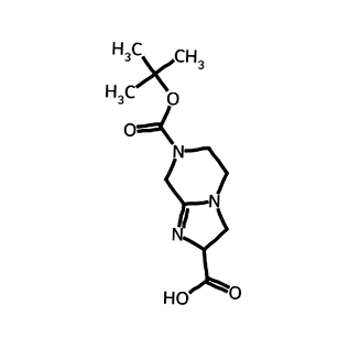 CC(C)(C)OC(=O)N1CCN2CC(C(=O)O)N=C2C1